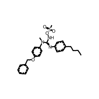 CCCCc1ccc(N=C(NOS(C)(=O)=O)N(C)c2ccc(OCc3ccccc3)cc2)cc1